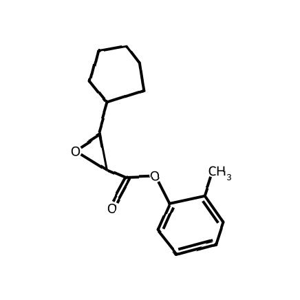 Cc1ccccc1OC(=O)C1OC1C1CCCCC1